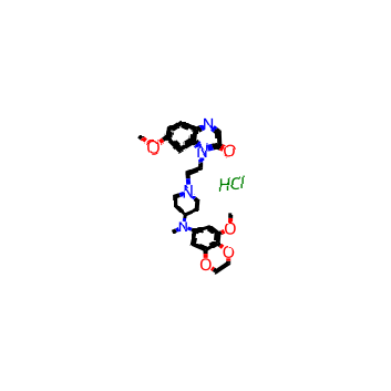 COc1ccc2ncc(=O)n(CCN3CCC(N(C)c4cc(OC)c5c(c4)OCCO5)CC3)c2c1.Cl